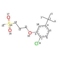 CC(C)(C)c1ccc(Cl)c(OCCCS(C)(=O)=O)c1